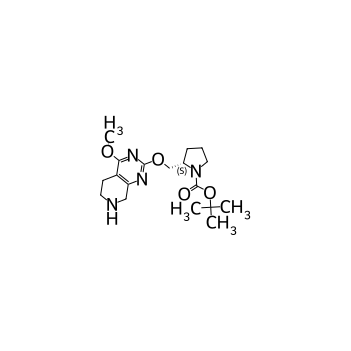 COc1nc(OC[C@@H]2CCCN2C(=O)OC(C)(C)C)nc2c1CCNC2